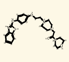 O=C(CN1CCN(CCOc2ccc(Oc3nc4ccccc4s3)cc2)CC1)N1CCOCC1